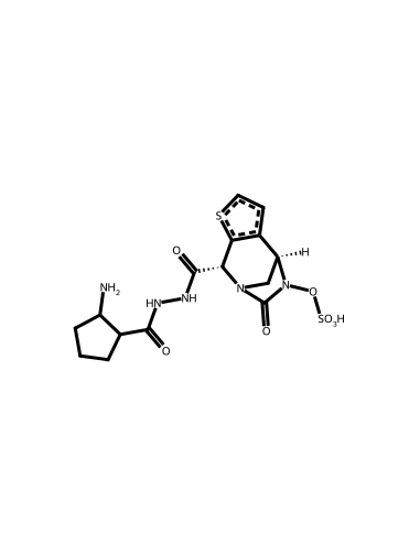 NC1CCCC1C(=O)NNC(=O)[C@@H]1c2sccc2[C@@H]2CN1C(=O)N2OS(=O)(=O)O